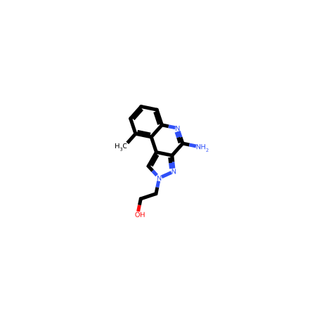 Cc1cccc2nc(N)c3nn(CCO)cc3c12